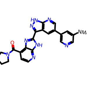 CNc1cncc(-c2cnc3[nH]nc(-c4nc5c(C(=O)N6CCCC6)ccnc5[nH]4)c3c2)c1